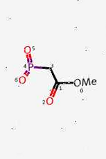 COC(=O)CP(=O)=O